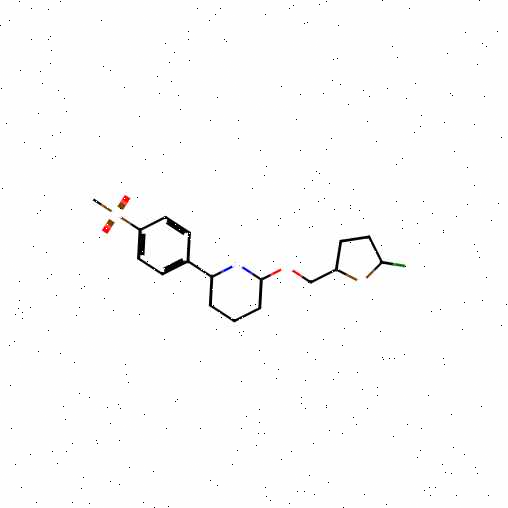 CS(=O)(=O)c1ccc(C2CCCC(OCC3CCC(Cl)S3)N2)cc1